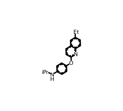 [CH2]Cc1ccc2nc(Oc3ccc(NC(C)C)cc3)ccc2c1